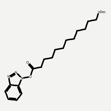 CCCCCCCCCCCCCCCCCCCCCC(=O)On1nnc2ccccc21